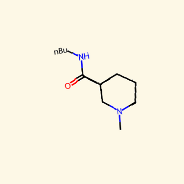 CCCCNC(=O)C1CCCN(C)C1